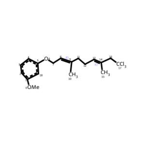 COc1cccc(OC/C=C(\C)CC/C=C(\C)CC(Cl)(Cl)Cl)c1